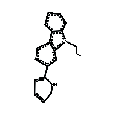 CC(C)Cn1c2ccccc2c2ccc(C3=CC=CCN3)cc21